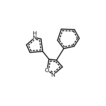 c1ccc(-c2cnoc2-c2cc[nH]c2)cc1